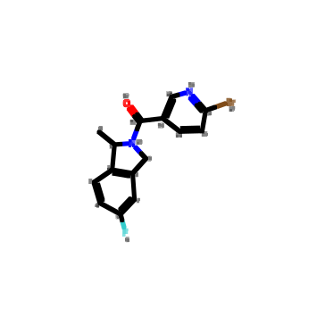 CC1c2ccc(F)cc2CN1C(=O)c1ccc(Br)nc1